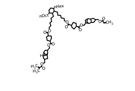 C=CC(=O)OCC1CC2C3CC(COC(=O)C4CCC(C(=O)OCCCCCCC5C(CCCCCC)CCC(CCCCCCCC)C5CCCCCCOC(=O)C5CCC(C(=O)OCC6CC7CC6C6CC(COC(=O)C(=C)C)C[C@H]76)CC5)CC4)C(C3)C2C1